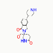 O=CC1(N2Cc3cc(C4CCNCC4)ccc3C2=O)CCC(=O)NC1